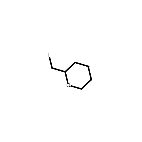 IC[C]1[CH][CH][CH]CO1